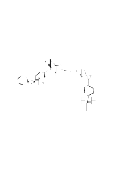 Cn1c(SCCCN2CCC3(CC3c3ccc(C(F)(F)F)cc3)C2)nnc1-c1ccc(Oc2ccccc2)nc1